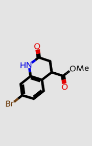 COC(=O)C1CC(=O)Nc2cc(Br)ccc21